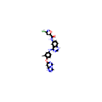 Cc1cc(Nc2ncnc3ccc(NC(=O)C4CC(Br)=NO4)cc23)ccc1Oc1cc2nncn2cn1